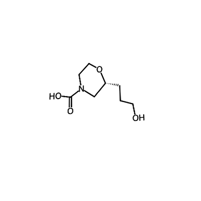 O=C(O)N1CCO[C@H](CCCO)C1